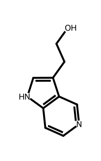 OCCc1c[nH]c2ccncc12